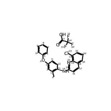 Cc1cc(Oc2ccccc2)ccc1Nc1ccc2cccc(Cl)c2n1.O=C(O)C(F)(F)F